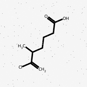 C=C(Cl)C(C)CCCC(=O)O